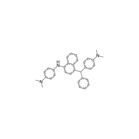 CN(C)c1ccc(Nc2ccc(C(c3ccccc3)c3ccc(N(C)C)cc3)c3ccccc23)cc1